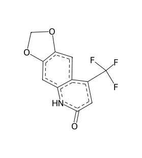 O=c1cc(C(F)(F)F)c2cc3c(cc2[nH]1)OCO3